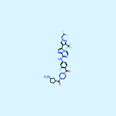 NC1CCC(C(=O)N2CCN(C(=O)c3ccc(Nc4nccn5c(-c6cn(CC(F)F)nc6C(F)(F)F)cnc45)cc3F)CC2)C1